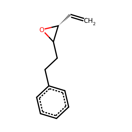 C=C[C@H]1OC1CCc1ccccc1